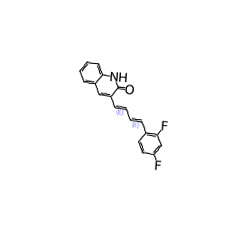 O=c1[nH]c2ccccc2cc1/C=C/C=C/c1ccc(F)cc1F